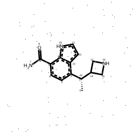 C[C@H](c1ccc(C(N)=O)c2[nH]ccc12)C1CNC1